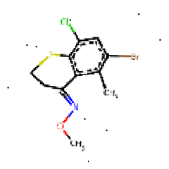 CON=C1CCSc2c(Cl)cc(Br)c(C)c21